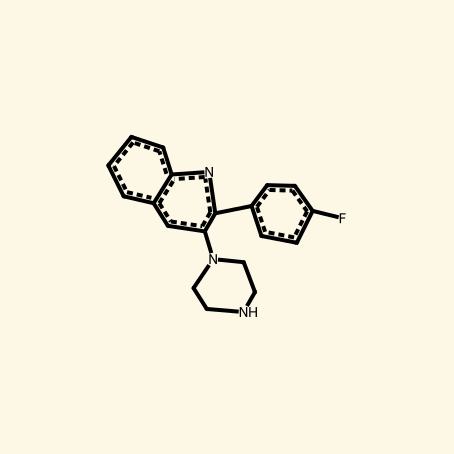 Fc1ccc(-c2nc3ccccc3cc2N2CCNCC2)cc1